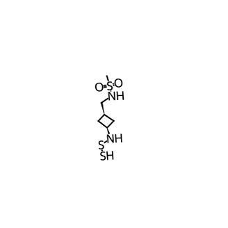 CS(=O)(=O)NC[C@H]1C[C@@H](NSS)C1